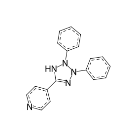 c1ccc(N2N=C(c3ccncc3)NN2c2ccccc2)cc1